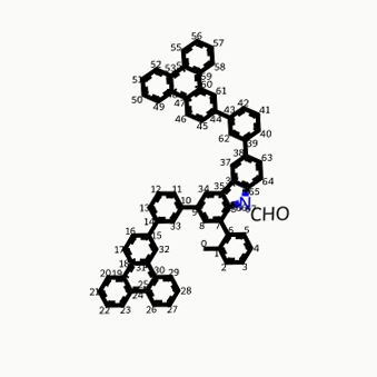 Cc1ccccc1-c1cc(-c2cccc(-c3ccc4c5ccccc5c5ccccc5c4c3)c2)cc2c3cc(-c4cccc(-c5ccc6c7ccccc7c7ccccc7c6c5)c4)ccc3n(C=O)c12